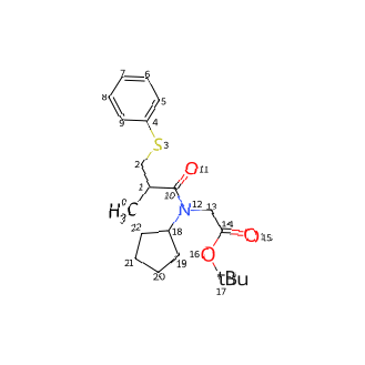 CC(CSc1ccccc1)C(=O)N(CC(=O)OC(C)(C)C)C1CCCC1